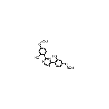 CCCCCCCCOc1ccc(-c2ncnc(-c3ccc(OCCCCCCCC)cc3O)n2)c(O)c1